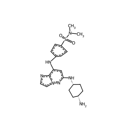 CN(C)S(=O)(=O)c1ccc(Nc2cc(N[C@H]3CC[C@@H](N)CC3)nn3ccnc23)cc1